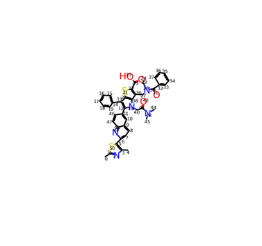 Cc1nc(C)c(-c2ccc3cc(-c4c(-c5ccccc5)c5sc(C(=O)O)c(CN(C)C(=O)c6ccccc6)c5n4CC(=O)N(C)C)ccc3n2)s1